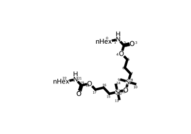 CCCCCCNC(=O)OCCC[Si](C)(C)O[Si](C)(C)CCCOC(=O)NCCCCCC